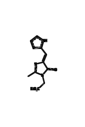 CCOC(=O)CN1C(=O)/C(=C/c2ccc[nH]2)N=C1C